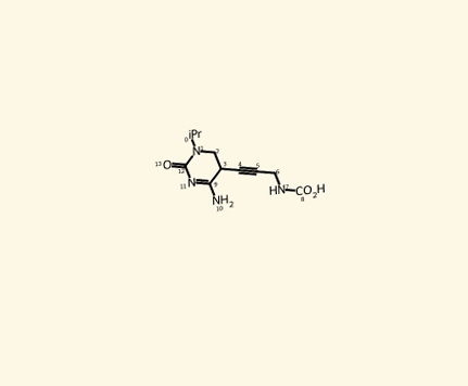 CC(C)N1CC(C#CCNC(=O)O)C(N)=NC1=O